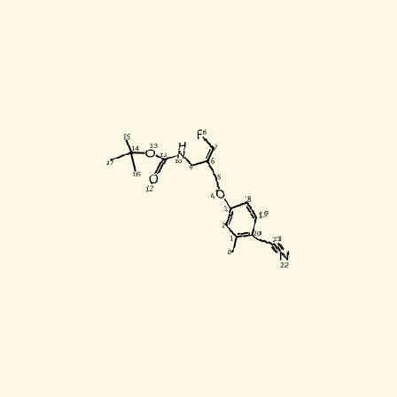 Cc1cc(OC/C(=C/F)CNC(=O)OC(C)(C)C)ccc1C#N